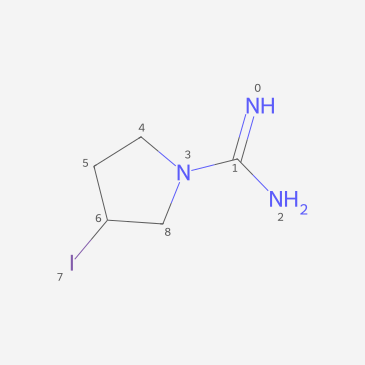 N=C(N)N1CCC(I)C1